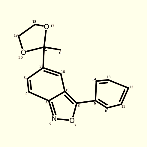 CC1(c2ccc3noc(-c4ccccc4)c3c2)OCCO1